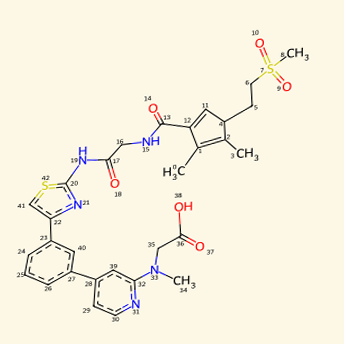 CC1=C(C)C(CCS(C)(=O)=O)C=C1C(=O)NCC(=O)Nc1nc(-c2cccc(-c3ccnc(N(C)CC(=O)O)c3)c2)cs1